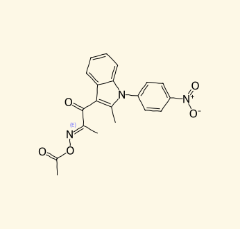 CC(=O)O/N=C(\C)C(=O)c1c(C)n(-c2ccc([N+](=O)[O-])cc2)c2ccccc12